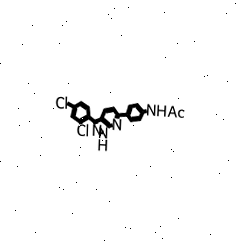 CC(=O)Nc1ccc(-c2ccc3c(-c4ccc(Cl)cc4Cl)n[nH]c3n2)cc1